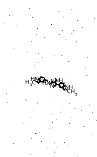 Cc1cc2cc(CNc3ncc(-c4ccc5[nH]c(C)cc5c4)c(N)n3)ccc2[nH]1